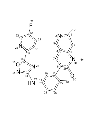 Cc1cc2c(cn1)cc(-c1cc(Nc3noc(-c4ccc(F)cn4)n3)ccc1C)c(=O)n2C